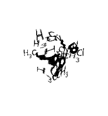 CCCCCc1cc(O)c2c(c1)OC(C)(C)[C@@H]1CCC(C)=C[C@@H]21.CCN(CC)CCCC(C)Nc1ccnc2cc(Cl)ccc12